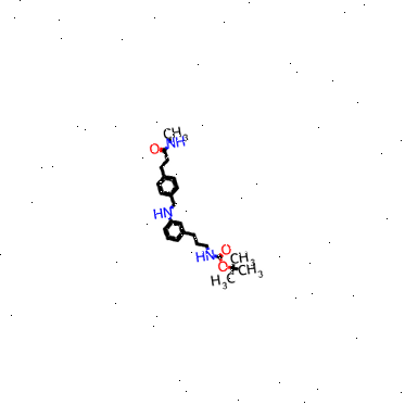 CNC(=O)CCc1ccc(CNc2cccc(CCCNC(=O)OC(C)(C)C)c2)cc1